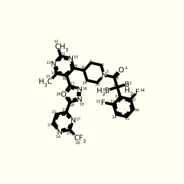 BC(B)(C(=O)N1CCC(c2nc(C)nc(C)c2-c2nnc(-c3ccnc(C(F)(F)F)n3)o2)CC1)c1c(F)cccc1F